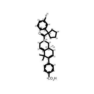 CC1(C)C(c2ccc(C(=O)O)cc2)=CC[C@]2(C)CN(C(=O)C3(c4cccc(F)c4)CCCC3)CC=C12